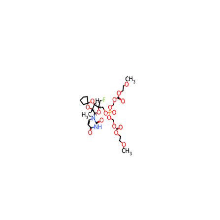 COCCOC(=O)OCOP(=O)(OCOC(=O)OCCOC)OC[C@@]1(CF)O[C@@H](n2ccc(=O)[nH]c2=O)[C@]2(C)OC3(CCCC3)O[C@H]12